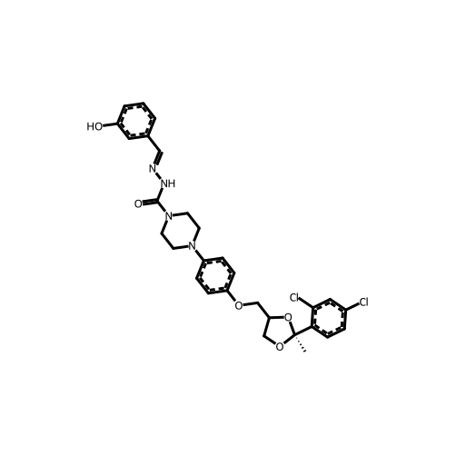 C[C@]1(c2ccc(Cl)cc2Cl)OCC(COc2ccc(N3CCN(C(=O)N/N=C/c4cccc(O)c4)CC3)cc2)O1